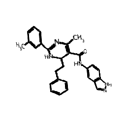 CC1=C(C(=O)Nc2ccc3[nH]ncc3c2)C(CCc2ccccc2)NC(c2cccc(C)c2)=N1